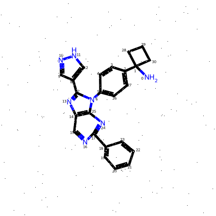 NC1(c2ccc(-n3c(-c4cn[nH]c4)nc4cnc(-c5ccccc5)nc43)cc2)CCC1